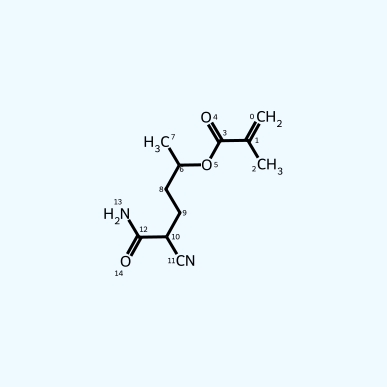 C=C(C)C(=O)OC(C)CCC(C#N)C(N)=O